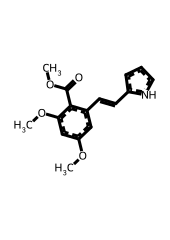 COC(=O)c1c(/C=C/c2ccc[nH]2)cc(OC)cc1OC